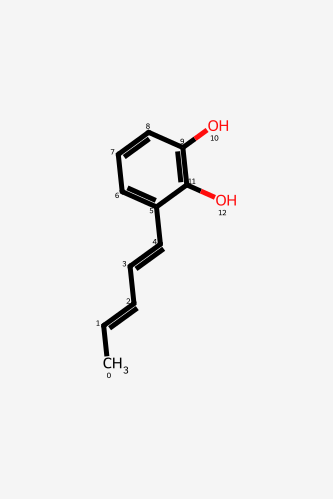 C/C=C/C=C/c1cccc(O)c1O